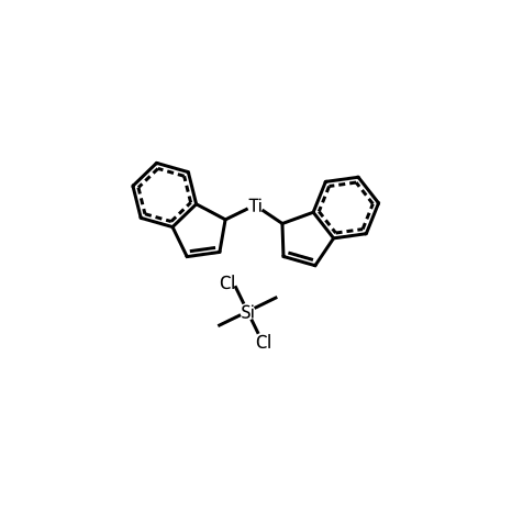 C1=C[CH]([Ti][CH]2C=Cc3ccccc32)c2ccccc21.C[Si](C)(Cl)Cl